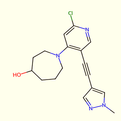 Cn1cc(C#Cc2cnc(Cl)cc2N2CCCC(O)CC2)cn1